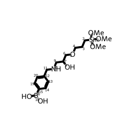 CO[Si](CCCOCC(O)CNCc1ccc(B(O)O)cc1)(OC)OC